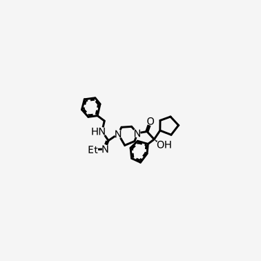 CC/N=C(\NCc1ccccc1)N1CCN(C(=O)[C@](O)(c2ccccc2)C2CCCC2)CC1